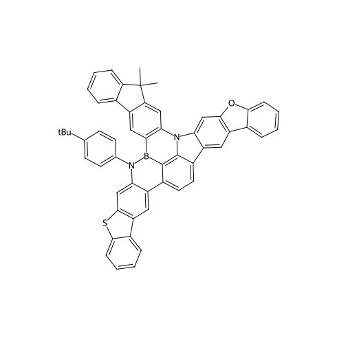 CC(C)(C)c1ccc(N2B3c4cc5c(cc4-n4c6cc7oc8ccccc8c7cc6c6ccc(c3c64)-c3cc4c(cc32)sc2ccccc24)C(C)(C)c2ccccc2-5)cc1